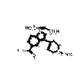 CCCCCCC(=O)c1ccc2[nH]cc(C3=CCN(C(C)CCC)CC3)c2c1.O=C(O)C#CC(=O)O